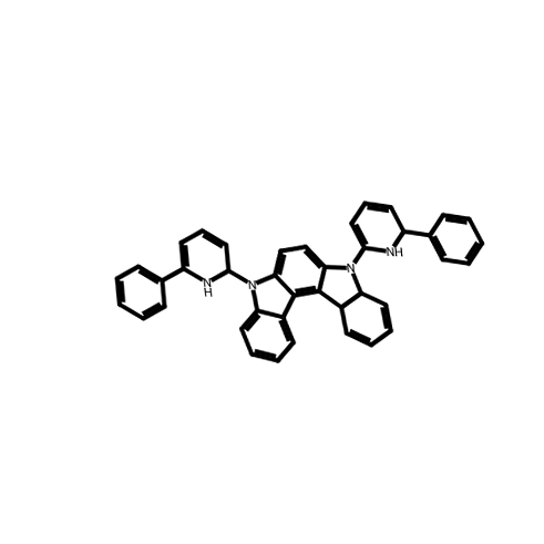 C1=CC(c2ccccc2)NC(N2c3ccc4c(c3C3C=CC=CC32)c2ccccc2n4C2C=CC=C(c3ccccc3)N2)=C1